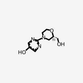 OC[C@@H]1CN(c2ncc(O)cn2)CCO1